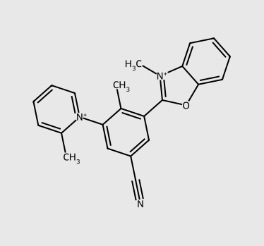 Cc1c(-c2oc3ccccc3[n+]2C)cc(C#N)cc1-[n+]1ccccc1C